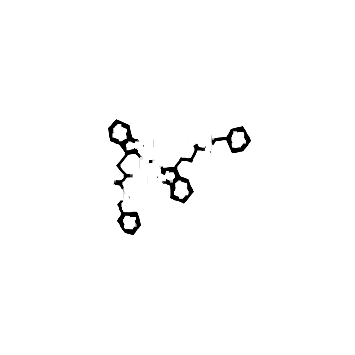 O=C(NCc1ccccc1)C(O)Cc1c(SSc2[nH]c3ccccc3c2CC(O)C(=O)NCc2ccccc2)[nH]c2ccccc12